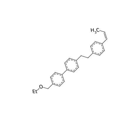 C/C=C\c1ccc(CCc2ccc(-c3ccc(COCC)cc3)cc2)cc1